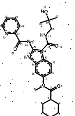 CN(C(=O)C1CCCCC1)c1ccc2c(C(=O)NCC(C)(C)O)c(NC(=O)c3ccccn3)[nH]c2c1